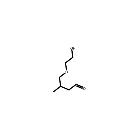 CC(CC=O)COCCO